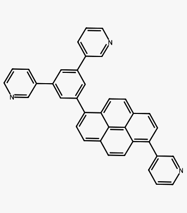 c1cncc(-c2cc(-c3cccnc3)cc(-c3ccc4ccc5c(-c6cccnc6)ccc6ccc3c4c65)c2)c1